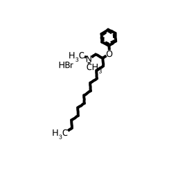 Br.CCCCCCCCCCCCC(CN(C)C)Oc1ccccc1